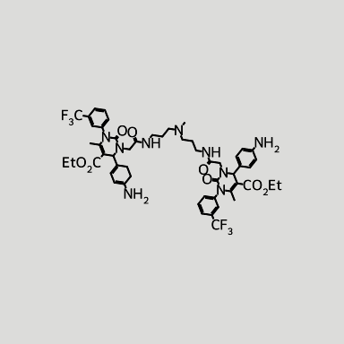 CCOC(=O)C1=C(C)N(c2cccc(C(F)(F)F)c2)C(=O)N(CC(=O)NCCCN(C)CCCNC(=O)CN2C(=O)N(c3cccc(C(F)(F)F)c3)C(C)=C(C(=O)OCC)C2c2ccc(N)cc2)C1C1=CC=C(N)CC1